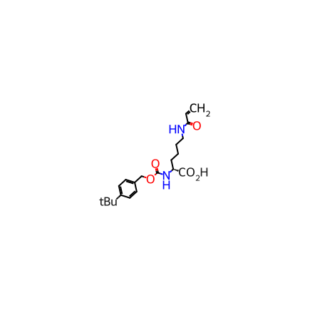 C=CC(=O)NCCCC[C@H](NC(=O)OCc1ccc(C(C)(C)C)cc1)C(=O)O